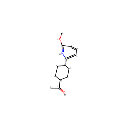 COc1cccc([C@H]2CC[C@H](C(C)=O)CC2)n1